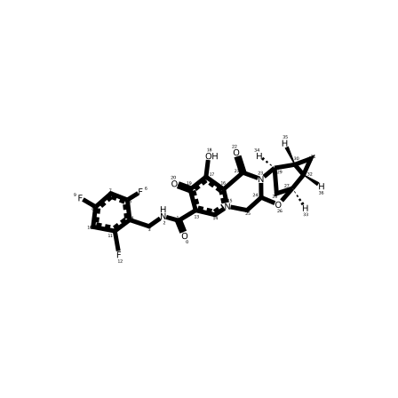 O=C(NCc1c(F)cc(F)cc1F)c1cn2c(c(O)c1=O)C(=O)N1C(C2)O[C@H]2C[C@@H]1[C@@H]1C[C@@H]12